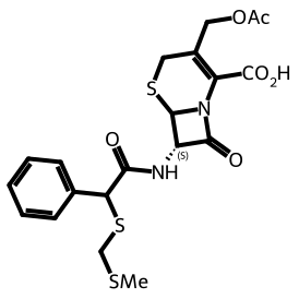 CSCSC(C(=O)N[C@H]1C(=O)N2C(C(=O)O)=C(COC(C)=O)CSC12)c1ccccc1